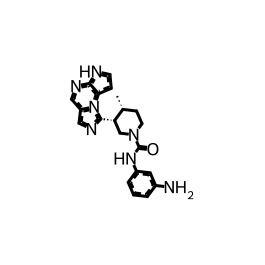 C[C@@H]1CCN(C(=O)Nc2cccc(N)c2)C[C@@H]1c1ncc2cnc3[nH]ccc3n12